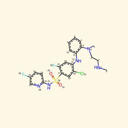 CNCCN(C)c1ccccc1Nc1cc(F)c(S(=O)(=O)Nc2ccc(F)cn2)cc1Cl